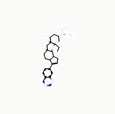 CN(C)[C@H]1C[C@@]23CC[C@]4(O2)C2CC=C(c5ccc6cncnc6c5)[C@@]2(C)CCC4(F)CC3(F)[C@@H](O)[C@@H]1O